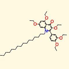 CCCCCCCCCCCCCCCCn1c(-c2ccc(OCC)c(OCC)c2)c(OCC)c(=O)c2c(OCC)cc(OCC)cc21